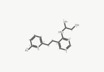 CCCC(CO)Nc1ncncc1CCc1cccc(C(C)=O)n1